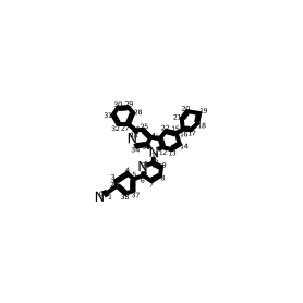 N#Cc1ccc(-c2cccc(-n3c4ccc(-c5ccccc5)cc4c4cc(-c5ccccc5)ncc43)n2)cc1